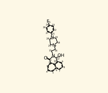 O=C1c2cccc3cccc(c23)C(O)N1CCN1CCN(c2ccc(F)cc2)CC1